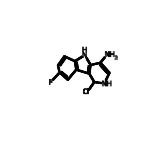 NC1=CNC(Cl)c2c1[nH]c1ccc(F)cc21